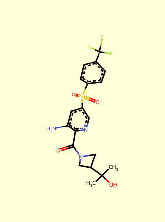 CC(C)(O)C1CN(C(=O)c2ncc(S(=O)(=O)c3ccc(C(F)(F)F)cc3)cc2N)C1